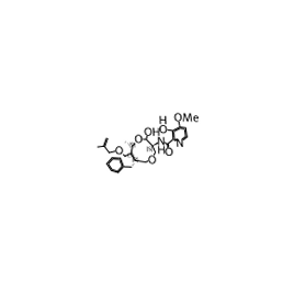 C=C(C)COC[C@@H]1[C@@H](Cc2ccccc2)COC[C@H](NC(=O)c2nccc(OC)c2O)C(O)O[C@H]1C